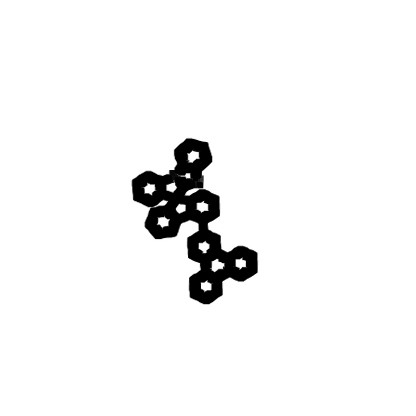 c1ccc2c(c1)-c1c(-c3ccc4c5ccccc5c5ccccc5c4c3)cccc1C21c2ccccc2-n2c1nc1ccccc12